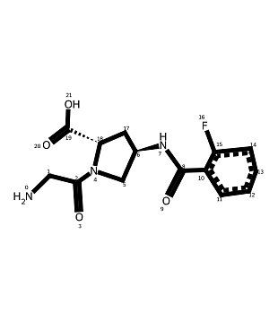 NCC(=O)N1C[C@H](NC(=O)c2ccccc2F)C[C@H]1C(=O)O